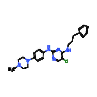 CN1CCN(c2ccc(Nc3ncc(Cl)c(NCCCc4ccccc4)n3)cc2)CC1